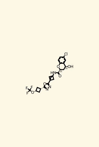 O=C(NC12CC(c3nnc([C@H]4C[C@@H](OC(F)(F)F)C4)o3)(C1)C2)[C@@H]1C[C@H](O)c2cc(Cl)ccc2O1